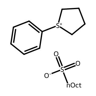 CCCCCCCCS(=O)(=O)[O-].c1ccc([S+]2CCCC2)cc1